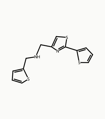 c1csc(CNCc2csc(-c3cccs3)n2)c1